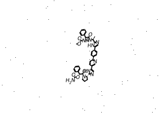 COC(=O)N[C@@H](C(=O)N[C@@H](C)c1ncc(-c2ccc(-c3ccc(-c4cnc([C@@H]5CCCN5C(=O)[C@H](OC(N)=O)c5ccccc5)[nH]4)cn3)cc2)[nH]1)c1ccccc1